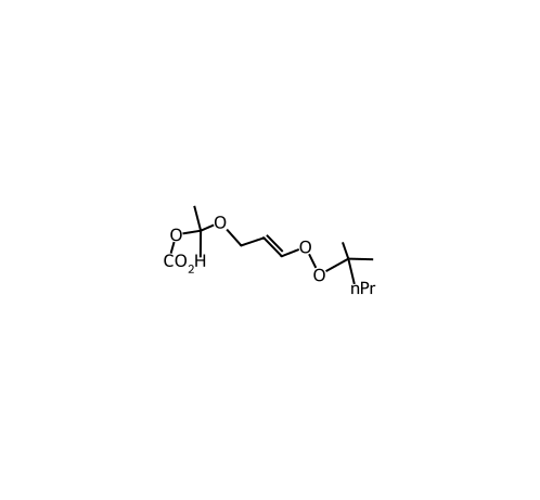 CCCC(C)(C)OOC=CCOC(C)(C)OC(=O)O